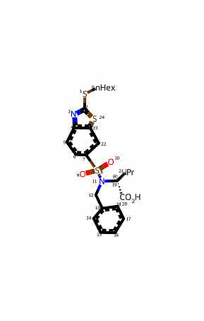 CCCCCCSc1nc2ccc(S(=O)(=O)N(Cc3ccccc3)[C@@H](C(=O)O)C(C)C)cc2s1